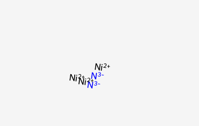 [N-3].[N-3].[Ni+2].[Ni+2].[Ni+2]